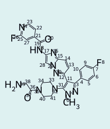 Cn1nc(-c2ccc(F)cc2)c(-c2ccc3nc(NC(=O)c4ccnc(F)c4)cn3n2)c1N1CCN(C(=O)CN)CC1